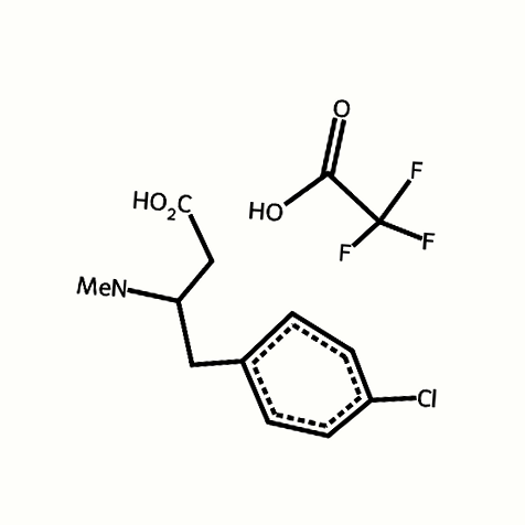 CNC(CC(=O)O)Cc1ccc(Cl)cc1.O=C(O)C(F)(F)F